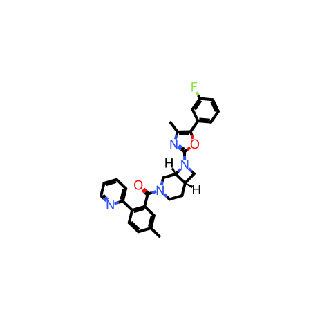 Cc1ccc(-c2ccccn2)c(C(=O)N2CC[C@H]3CN(c4nc(C)c(-c5cccc(F)c5)o4)[C@H]3C2)c1